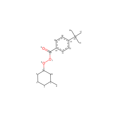 CC1CCC[C](OOC(=O)c2ccc([Si](C)(C)C)cc2)C1